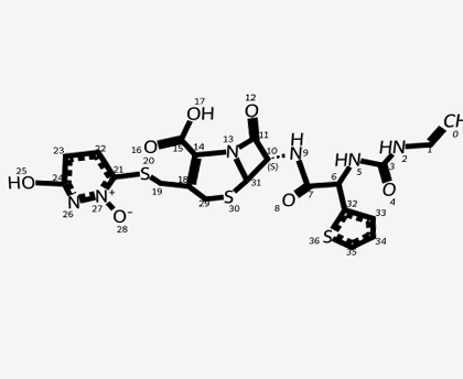 C=CNC(=O)NC(C(=O)N[C@H]1C(=O)N2C(C(=O)O)=C(CSc3ccc(O)n[n+]3[O-])CSC12)c1cccs1